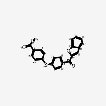 CCCC(=O)c1ccc(Sc2ccc(C(=O)c3cc4ccccc4o3)cc2)cc1